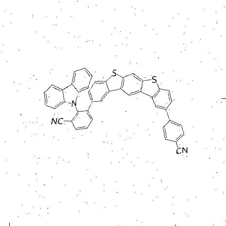 N#Cc1ccc(-c2ccc3sc4cc5sc6ccc(-c7cccc(C#N)c7-n7c8ccccc8c8ccccc87)cc6c5cc4c3c2)cc1